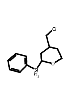 ClCC1CCOC([SiH2]c2ccccc2)C1